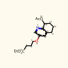 CCOC(=O)CCCOc1cnc2c(c1)CCCC2OC(C)=O